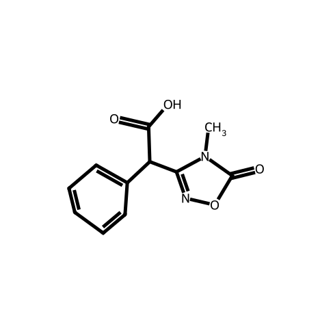 Cn1c(C(C(=O)O)c2ccccc2)noc1=O